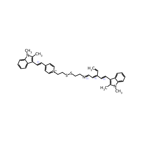 C=CC(/C=C/c1c(C)n(C)c2ccccc12)=C\C=N\CCSSCC[n+]1ccc(/C=C/c2c(C)n(C)c3ccccc23)cc1